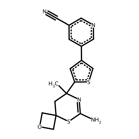 CC1(c2cc(-c3cncc(C#N)c3)cs2)CC2(COC2)SC(N)=N1